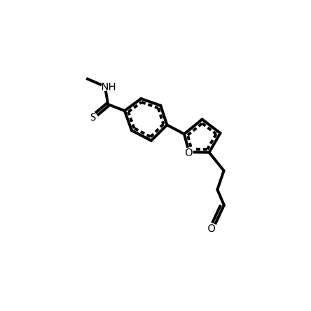 CNC(=S)c1ccc(-c2ccc(CCC=O)o2)cc1